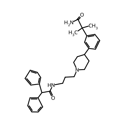 CC(C)(C(N)=O)c1cccc(C2CCN(CCCNC(=O)C(c3ccccc3)c3ccccc3)CC2)c1